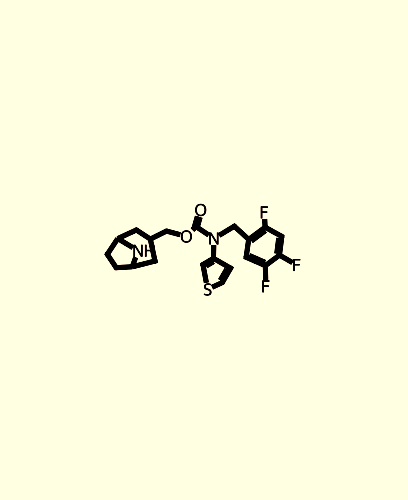 O=C(OCC1CC2CCC(C1)N2)N(Cc1cc(F)c(F)cc1F)c1ccsc1